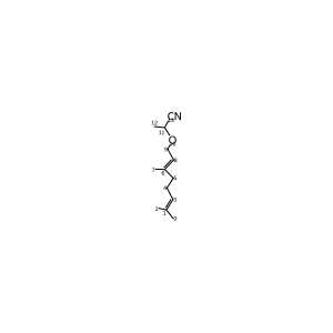 CC(C)=CCC/C(C)=C/COC(C)C#N